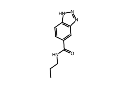 CCCNC(=O)c1ccc2[nH]nnc2c1